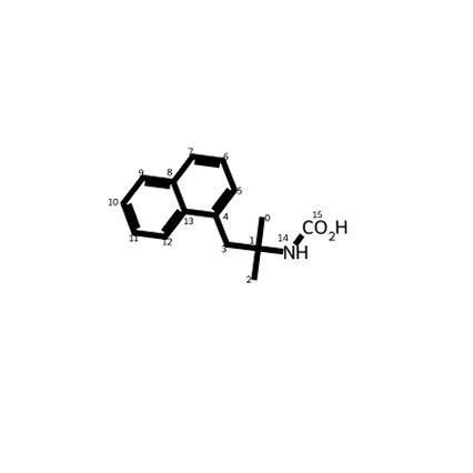 CC(C)(Cc1cccc2ccccc12)NC(=O)O